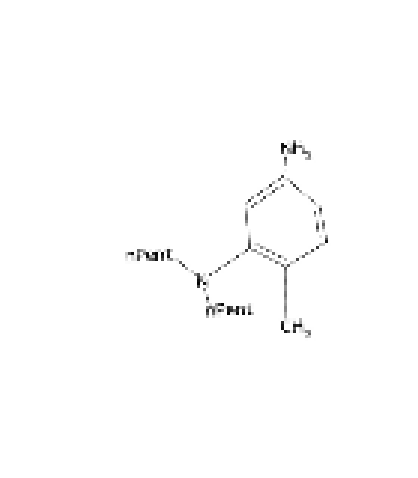 CCCCCN(CCCCC)c1cc(N)ccc1C